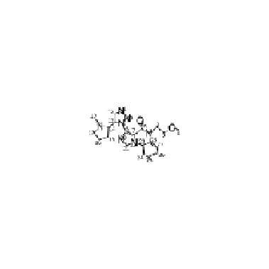 COCCn1c(=O)c2c(-n3nncc3C3CCCN3C)ncn2c2ccccc21